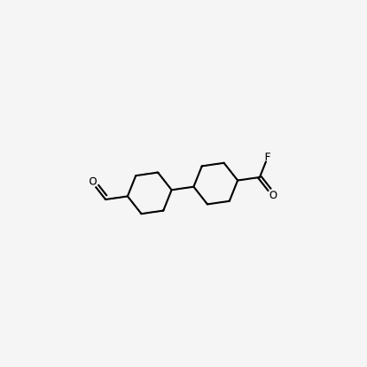 O=CC1CCC(C2CCC(C(=O)F)CC2)CC1